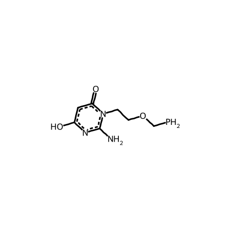 Nc1nc(O)cc(=O)n1CCOCP